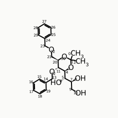 CC1(C)O[C@@H]([C@@H](O)[C@@H](O)CO)[C@H](OCc2ccccc2)[C@@H](COCc2ccccc2)O1